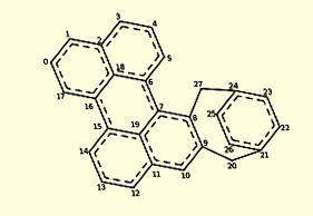 c1cc2cccc3c4c5c(cc6cccc(c(c1)c23)c64)Cc1ccc(cc1)C5